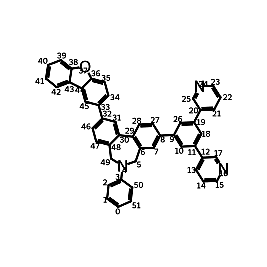 c1ccc(N2Cc3cc(-c4cc(-c5cccnc5)cc(-c5cccnc5)c4)ccc3-c3cc(-c4ccc5oc6ccccc6c5c4)ccc3C2)cc1